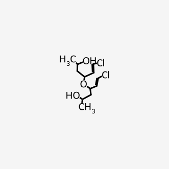 CC(O)CC(C=CCl)OC(C=CCl)CC(C)O